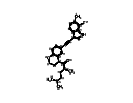 Cc1ccc2c(C#Cc3ccc4c(c3)C(C(=O)N(C)CCN(C)C)CCO4)c[nH]c2c1F